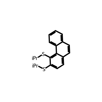 CC(C)Sc1ccc2ccc3ccccc3c2c1SC(C)C